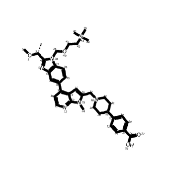 CO[C@H](C)c1nc2cc(-c3ccnc4c3cc(CN3CCC(c5ccc(C(=O)O)cc5)CC3)n4C)ccc2n1COCC[Si](C)(C)C